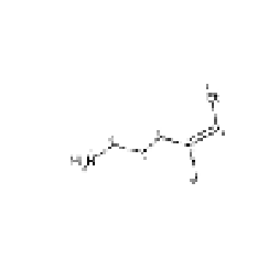 CC/C=C(/C)CCCN